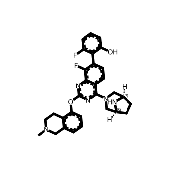 CN1CCc2c(cccc2Oc2nc(N3C[C@H]4CC[C@@H](C3)N4)c3ccc(-c4c(O)cccc4F)c(F)c3n2)C1